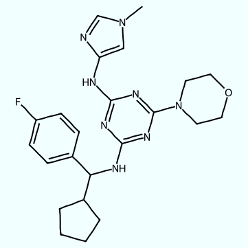 Cn1cnc(Nc2nc(NC(c3ccc(F)cc3)C3CCCC3)nc(N3CCOCC3)n2)c1